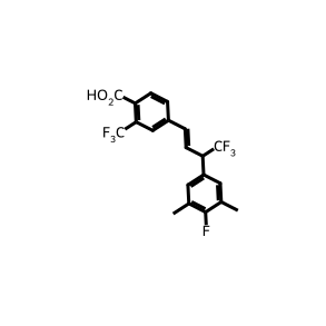 Cc1cc(C(C=Cc2ccc(C(=O)O)c(C(F)(F)F)c2)C(F)(F)F)cc(C)c1F